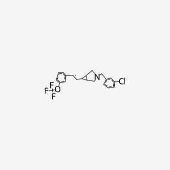 FC(F)(F)Oc1cccc([CH]CC2C3CN(Cc4cccc(Cl)c4)CC23)c1